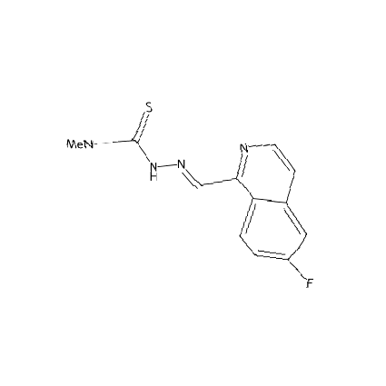 CNC(=S)N/N=C/c1nccc2cc(F)ccc12